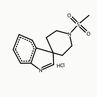 CS(=O)(=O)N1CCC2(C=Nc3ccccc32)CC1.Cl